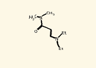 CCN(CC)CCC(=O)N(C)C